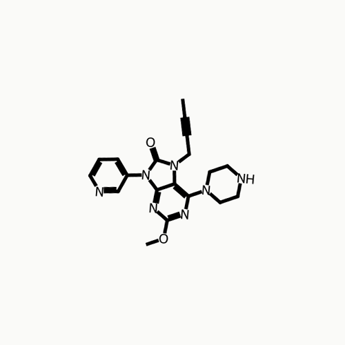 CC#CCn1c(=O)n(-c2cccnc2)c2nc(OC)nc(N3CCNCC3)c21